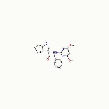 COc1cc(OC)nc(NC(C(=O)c2c[nH]c3ccccc23)c2ccccc2)n1